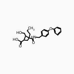 CCCC1(C(=O)NCc2ccc(Oc3ccccc3)cc2)CC(C(=O)O)C1CO